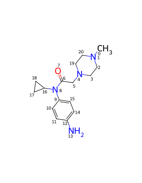 CN1CCN(CC(=O)N(c2ccc(N)cc2)C2CC2)CC1